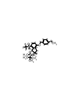 COc1ccc(COc2ccc(S(=O)(=O)C(F)(F)F)c3c2CC(F)(F)[C@H]3O[Si](C)(C)C(C)(C)C)cc1